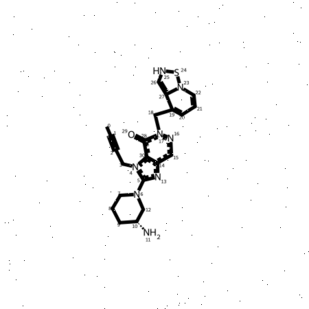 CC#CCn1c(N2CCC[C@@H](N)C2)nc2cnn(CC3=CC=CN4SNC=C34)c(=O)c21